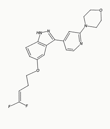 FC(F)=CCCOc1ccc2[nH]nc(-c3ccnc(N4CCOCC4)c3)c2c1